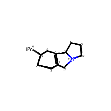 CC(C)C1CCC2=C(C1)C1CCCN1C2